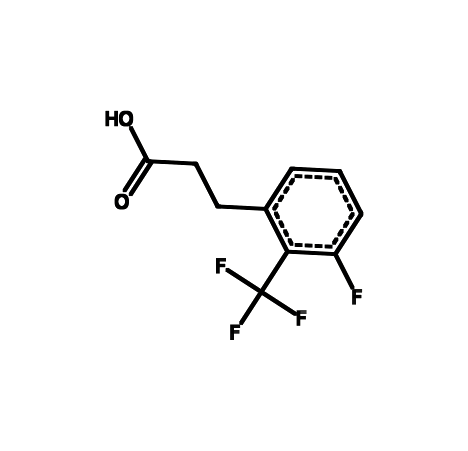 O=C(O)CCc1cccc(F)c1C(F)(F)F